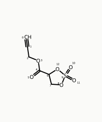 C#CCOC(=O)C1COS(=O)(=O)O1